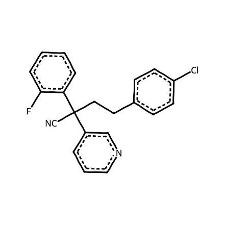 N#CC(CCc1ccc(Cl)cc1)(c1cccnc1)c1ccccc1F